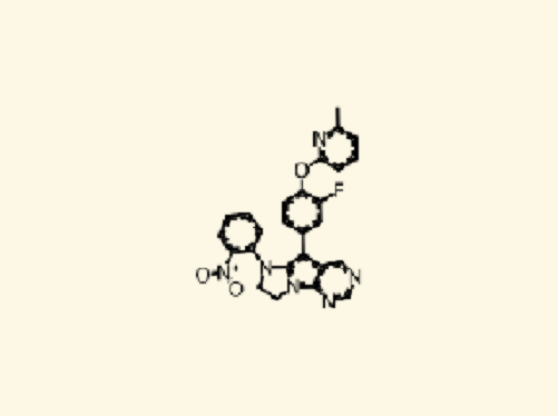 Cc1cccc(Oc2ccc(-c3c4n(c5ncncc35)CCN4c3ccccc3[N+](=O)[O-])cc2F)n1